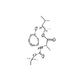 CC(NC(=O)OC(C)(C)C)C(=O)O[C@@H](C)[C@H](Oc1ccccc1)C(C)C